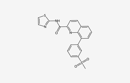 CS(=O)(=O)c1cccc(-c2cccc3ccc(C(=O)Nc4nccs4)nc23)c1